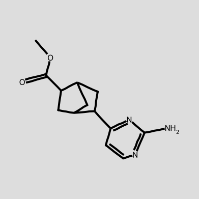 COC(=O)C1CC2CC1CC2c1ccnc(N)n1